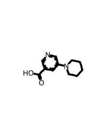 O=C(O)c1cncc(N2CCCCC2)c1